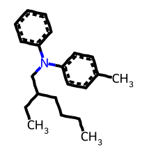 CCCCC(CC)CN(c1ccccc1)c1ccc(C)cc1